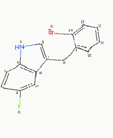 Fc1ccc2[nH]cc(Cc3ccccc3Br)c2c1